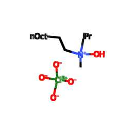 CCCCCCCCCC[N+](C)(O)C(C)C.[O-][Cl+3]([O-])([O-])[O-]